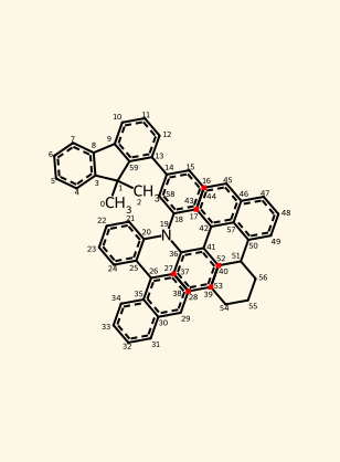 CC1(C)c2ccccc2-c2cccc(-c3cccc(N(c4ccccc4-c4cccc5ccccc45)c4ccccc4-c4cccc5cccc(C6CCCCC6)c45)c3)c21